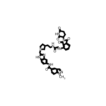 Cn1ncc2cc(C(=O)Nc3ccc4[nH]c(CN5CCC(CCNC(=O)CNc6cccc7c6C(=O)N(C6CCC(=O)NC6=O)C7=O)C5)nc4c3)ccc21